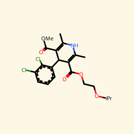 COC(=O)C1=C(C)NC(C)=C(C(=O)OCCOC(C)C)C1c1cccc(Cl)c1Cl